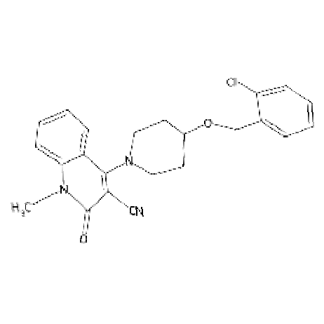 Cn1c(=O)c(C#N)c(N2CCC(OCc3ccccc3Cl)CC2)c2ccccc21